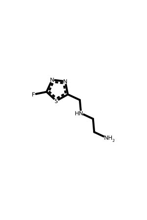 NCCNCc1nnc(F)s1